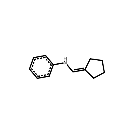 C(Nc1ccccc1)=C1CCCC1